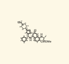 COC[C@H](C)Nc1c(C#N)cnc2c(N[C@@H](c3ccccc3)c3cn(C4CCN(C(C)(C)C)CC4)nn3)cc(Cl)cc12